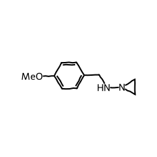 COc1ccc(CNN2CC2)cc1